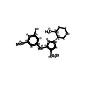 CCOC(=O)c1cn([C@H]2COCC[C@@H]2C)nc1Nc1cc(F)nc(OC)c1